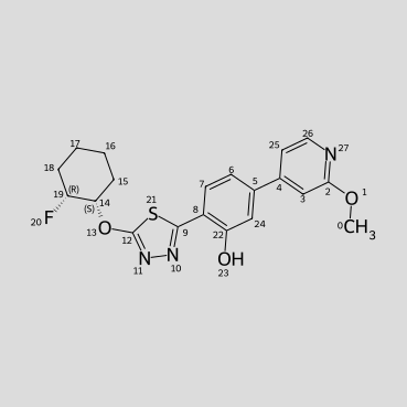 COc1cc(-c2ccc(-c3nnc(O[C@H]4CCCC[C@H]4F)s3)c(O)c2)ccn1